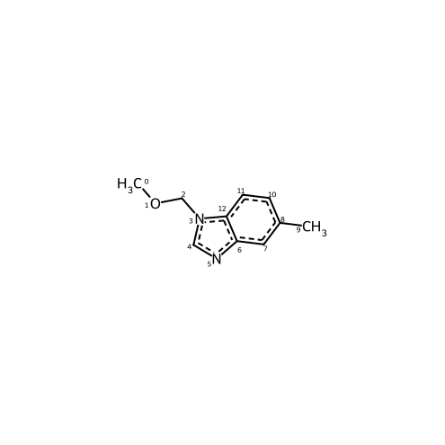 COCn1cnc2cc(C)ccc21